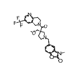 COC[C@]1(C(=O)N2CCc3ncc(C(F)(F)F)cc3C2)CCN(Cc2ccc3oc(=O)n(C)c3c2)C1